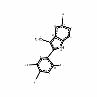 O=Cc1c(-c2cc(F)c(F)cc2F)[nH]c2ccc(F)cc12